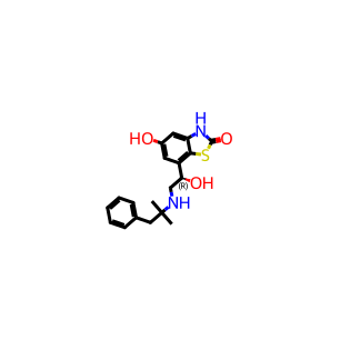 CC(C)(Cc1ccccc1)NC[C@H](O)c1cc(O)cc2[nH]c(=O)sc12